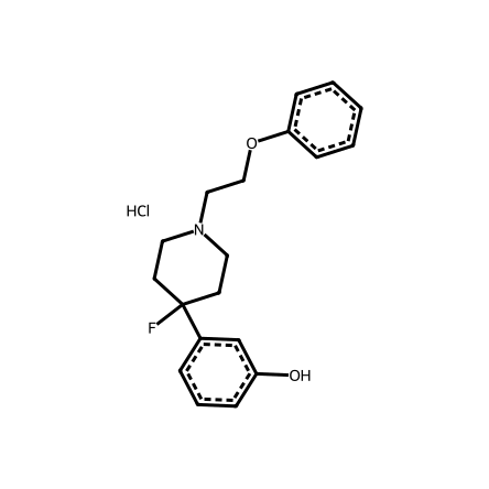 Cl.Oc1cccc(C2(F)CCN(CCOc3ccccc3)CC2)c1